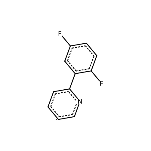 Fc1ccc(F)c(-c2cc[c]cn2)c1